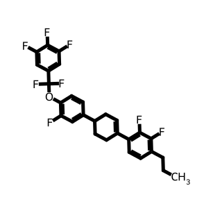 CCCc1ccc(C2=CCC(c3ccc(OC(F)(F)c4cc(F)c(F)c(F)c4)c(F)c3)CC2)c(F)c1F